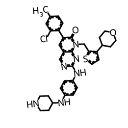 Cc1ccc(-c2cc3cnc(Nc4ccc(NC5CCNCC5)cc4)nc3n(Cc3sccc3C3CCOCC3)c2=O)c(Cl)c1